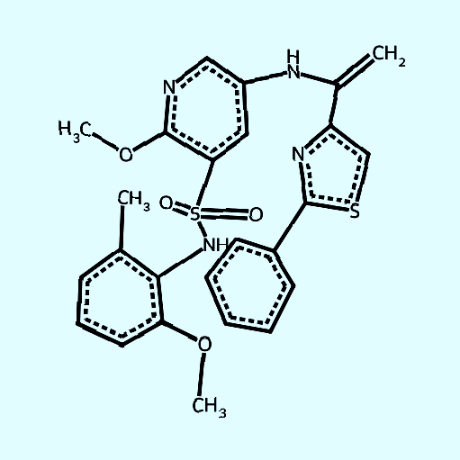 C=C(Nc1cnc(OC)c(S(=O)(=O)Nc2c(C)cccc2OC)c1)c1csc(-c2ccccc2)n1